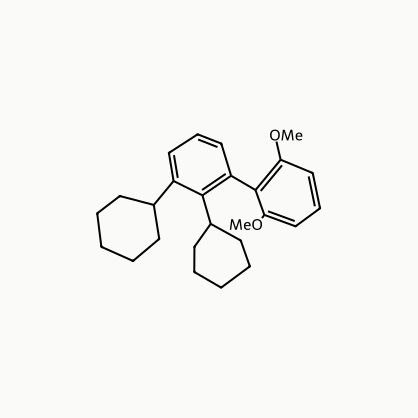 COc1cccc(OC)c1-c1cccc(C2CCCCC2)c1C1CCCCC1